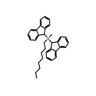 CCCCCCCC[Si](C)(C1c2ccccc2-c2ccccc21)C1c2ccccc2-c2ccccc21